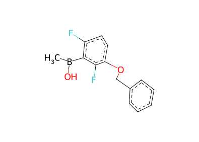 CB(O)c1c(F)ccc(OCc2ccccc2)c1F